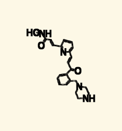 O=C(/C=C/c1cccc(/C=C/C(=O)c2ccccc2CN2CCNCC2)n1)NO